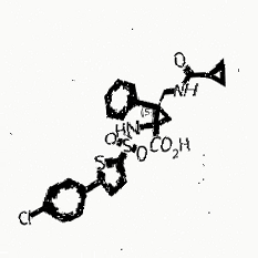 O=C(NC[C@@]1(c2ccccc2)CC1(NS(=O)(=O)c1ccc(-c2ccc(Cl)cc2)s1)C(=O)O)C1CC1